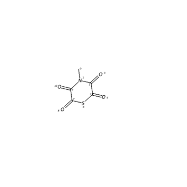 CN1C(=O)C(=O)SC(=O)C1=O